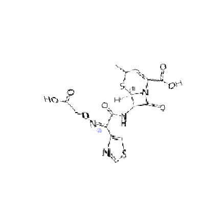 CC1C=C(C(=O)O)N2C(=O)C(NC(=O)/C(=N\OCC(=O)O)c3cscn3)[C@H]2S1